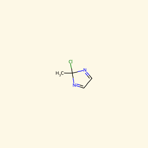 CC1(Cl)N=CC=N1